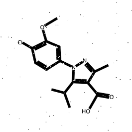 COc1cc(-n2nc(C)c(C(=O)O)c2C(C)C)ccc1Cl